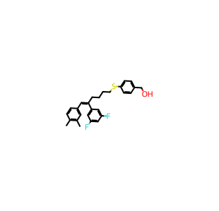 Cc1ccc(C=C(CCCCSc2ccc(CO)cc2)c2cc(F)cc(F)c2)cc1C